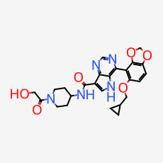 O=C(NC1CCN(C(=O)CO)CC1)c1c[nH]c2c(-c3c(OCC4CC4)ccc4c3OCO4)ncnc12